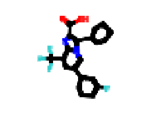 O=C(O)c1nc2c(C(F)(F)F)cc(-c3cccc(F)c3)cn2c1-c1ccccc1